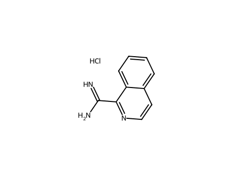 Cl.N=C(N)c1nccc2ccccc12